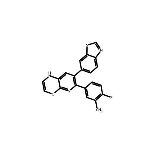 Cc1cc(-c2nc3c(cc2-c2ccc4ncsc4c2)NC=CO3)ccc1F